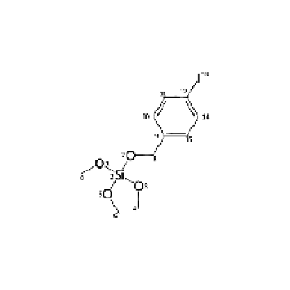 CO[Si](OC)(OC)OCc1ccc(I)cc1